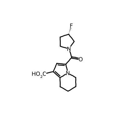 O=C(O)c1cc(C(=O)N2CC[C@H](F)C2)n2c1CCCC2